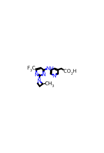 C[C@H]1CCN1c1nc(Nc2cncc(CC(=O)O)c2)cc(C(F)(F)F)n1